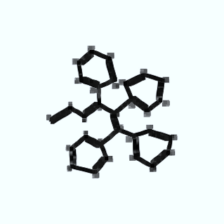 C=CC=C(C(=C(c1ccccc1)c1ccccc1)c1ccccc1)c1ccccc1